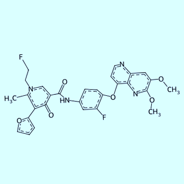 COc1cc2nccc(Oc3ccc(NC(=O)c4cn(CCF)c(C)c(-c5ccco5)c4=O)cc3F)c2nc1OC